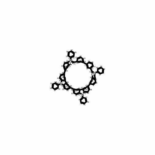 c1ccc(N2c3ccc4cc3CC2c2cccc(c2)-c2cccc(c2)C2Cc3cc(ccc3N2c2ccccc2)-c2ccc3c(c2)c2cc(ccc2n3-c2ccccc2)-c2ccc3c(c2)c2cc-4ccc2n3-c2ccccc2)cc1